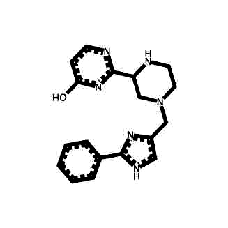 Oc1ccnc(C2CN(Cc3c[nH]c(-c4ccccc4)n3)CCN2)n1